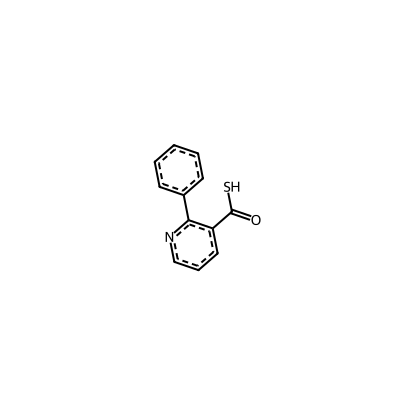 O=C(S)c1cccnc1-c1ccccc1